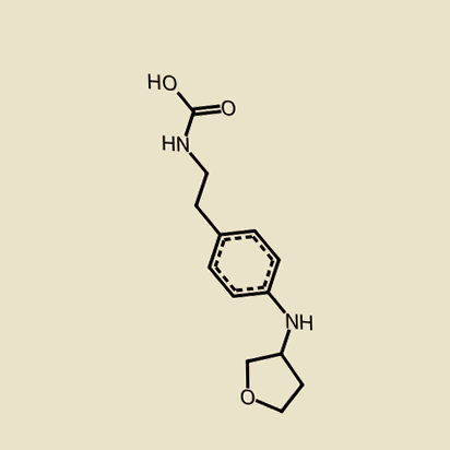 O=C(O)NCCc1ccc(NC2CCOC2)cc1